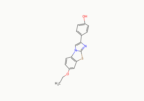 CCOc1ccc2c(c1)sc1nc(-c3ccc(O)cc3)cn12